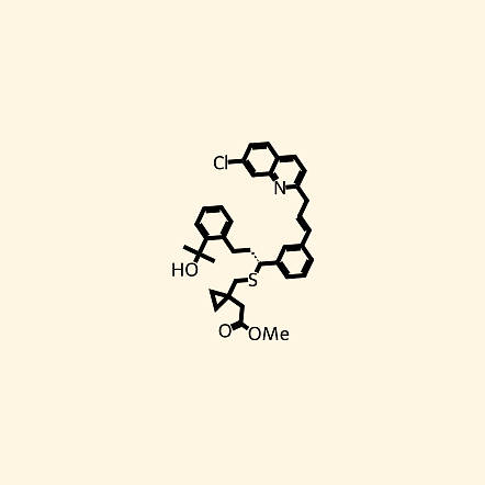 COC(=O)CC1(CS[C@H](CCc2ccccc2C(C)(C)O)c2cccc(/C=C/Cc3ccc4ccc(Cl)cc4n3)c2)CC1